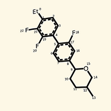 CCc1ccc(-c2ccc(C3CCC(C)CO3)cc2F)c(F)c1F